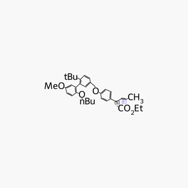 C/C=C/[C@H](CC(=O)OCC)c1ccc(OCc2ccc(C(C)(C)C)c(-c3cc(OC)ccc3OCCCC)c2)cc1